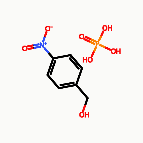 O=P(O)(O)O.O=[N+]([O-])c1ccc(CO)cc1